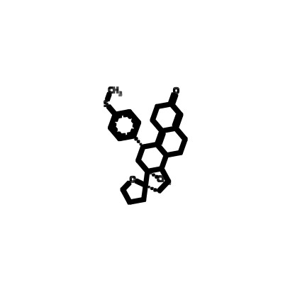 CSc1ccc([C@H]2C[C@@]3(C)C(CC[C@@]34CCCO4)C3CCC4=CC(=O)CCC4=C32)cc1